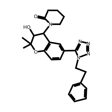 CC1(C)Oc2ccc(-c3nnnn3CCc3ccccc3)cc2C(N2CCCCC2=O)C1O